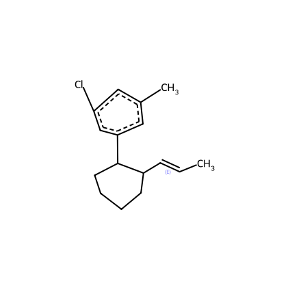 C/C=C/C1CCCCC1c1cc(C)cc(Cl)c1